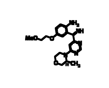 COCCOc1ccc(N)c(C(=N)c2cc(N3CCOC[C@@H]3C)ncn2)c1